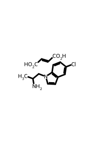 CC(N)Cn1ccc2cc(Cl)ccc21.O=C(O)/C=C/C(=O)O